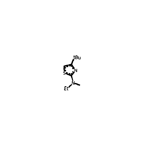 CCN(C)c1nc(C(C)(C)C)cs1